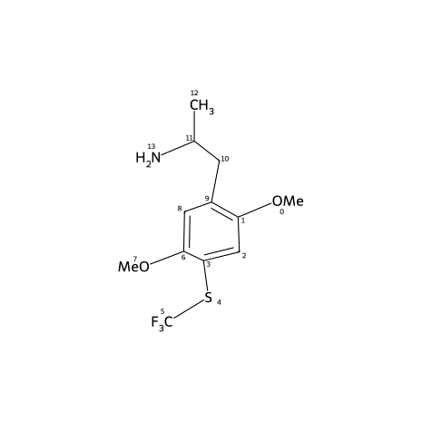 COc1cc(SC(F)(F)F)c(OC)cc1CC(C)N